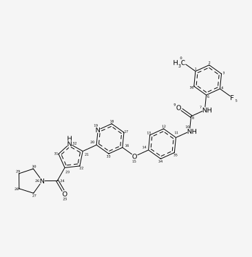 Cc1ccc(F)c(NC(=O)Nc2ccc(Oc3ccnc(-c4cc(C(=O)N5CCCC5)c[nH]4)c3)cc2)c1